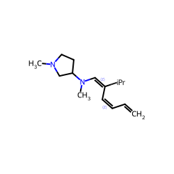 C=C/C=C\C(=C/N(C)C1CCN(C)C1)C(C)C